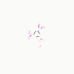 O=COC(=O)c1cc([N+](=O)[O-])cc([N+](=O)[O-])c1